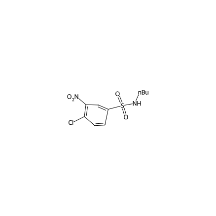 CCCCNS(=O)(=O)c1ccc(Cl)c([N+](=O)[O-])c1